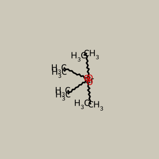 CC(C)CCCCCCCCCC[O][Zr](=[O])([CH2]CCCCCCCCCC(C)C)([CH2]CCCCCCCCCC(C)C)[O]CCCCCCCCCCC(C)C